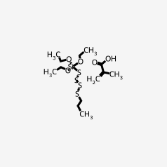 C=C(C)C(=O)O.CCCSSSS[Si](OCC)(OCC)OCC